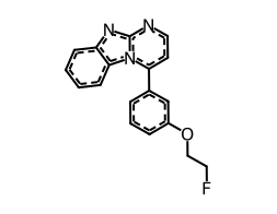 FCCOc1cccc(-c2ccnc3nc4ccccc4n23)c1